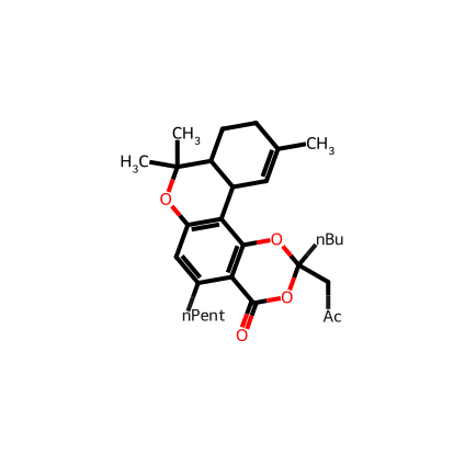 CCCCCc1cc2c(c3c1C(=O)OC(CCCC)(CC(C)=O)O3)C1C=C(C)CCC1C(C)(C)O2